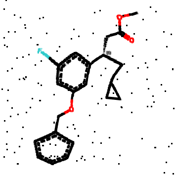 COC(=O)C[C@H](CC1CC1)c1cc(F)cc(OCc2ccccc2)c1